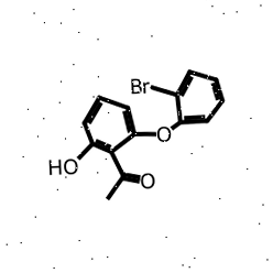 CC(=O)c1c(O)cccc1Oc1ccccc1Br